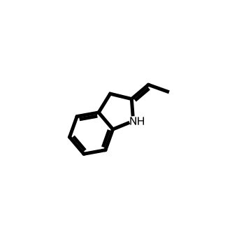 CC=C1Cc2ccccc2N1